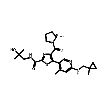 Cc1cc(NCC2(C)CC2)ncc1-c1sc(C(=O)NCC(C)(C)O)nc1C(=O)N1CCC[C@@H]1C